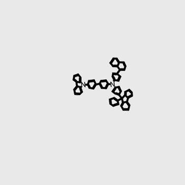 c1ccc(C2(c3ccc(N(c4ccc(-c5ccc(-n6c7ccccc7c7ccccc76)cc5)cc4)c4ccc(-c5cccc6ccccc56)cc4)cc3)c3ccccc3-c3ccccc32)cc1